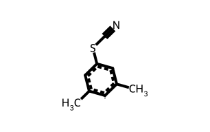 Cc1[c]c(C)cc(SC#N)c1